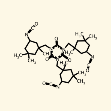 CC1(C)CC(N=C=O)CC(C)(Cn2c(=O)n(CC3(C)CC(N=C=O)CC(C)(C)C3)c(=O)n(CC3(C)CC(N=C=O)CC(C)(C)C3)c2=O)C1